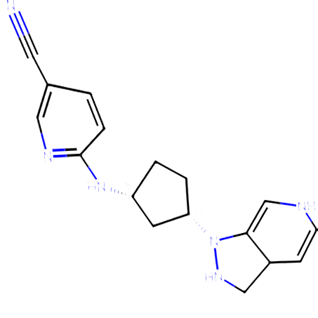 N#Cc1ccc(N[C@@H]2CC[C@H](N3NCC4C=CNC=C43)C2)nc1